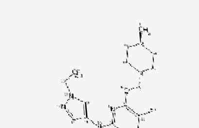 C[C@H]1CC[C@H](COc2nc(Nc3cnn(CC(F)(F)F)c3)ncc2F)CC1